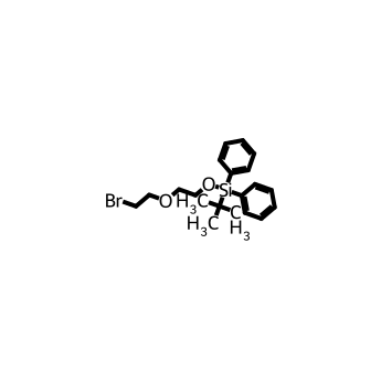 CC(C)(C)[Si](OCCOCCBr)(c1ccccc1)c1ccccc1